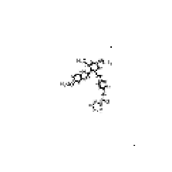 COc1ccc(NC(=O)c2c(C=Cc3ccc(OCC(=O)N4CCCCC4)cc3)cc(OC)cc2OC)c(F)c1